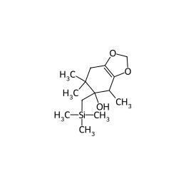 CC1C2=C(CC(C)(C)C1(O)C[Si](C)(C)C)OCO2